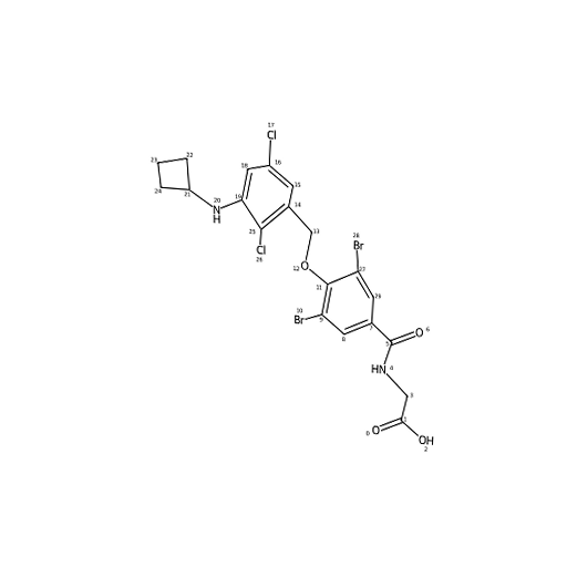 O=C(O)CNC(=O)c1cc(Br)c(OCc2cc(Cl)cc(NC3CCC3)c2Cl)c(Br)c1